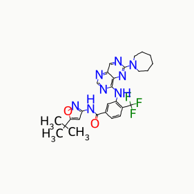 CC(C)(C)c1cc(NC(=O)c2ccc(C(F)(F)F)c(Nc3ncnc4cnc(N5CCCCCC5)nc34)c2)no1